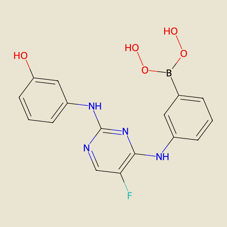 OOB(OO)c1cccc(Nc2nc(Nc3cccc(O)c3)ncc2F)c1